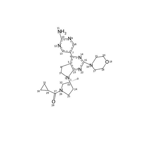 C[C@]1(N2CCc3c(-c4cnc(N)nc4)nc(N4CCOCC4)nc32)CCN(C(=O)C2CC2)C1